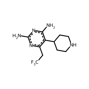 Nc1nc(N)c(C2CCNCC2)c(CC(F)(F)F)n1